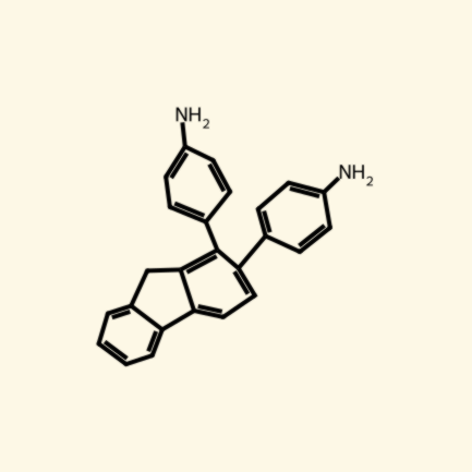 Nc1ccc(-c2ccc3c(c2-c2ccc(N)cc2)Cc2ccccc2-3)cc1